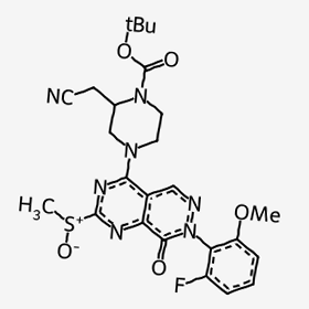 COc1cccc(F)c1-n1ncc2c(N3CCN(C(=O)OC(C)(C)C)C(CC#N)C3)nc([S+](C)[O-])nc2c1=O